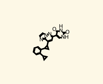 O=c1[nH]cc(-c2cc(C3CC3c3ccccc3C3CC3)c3nccn3n2)c(=O)[nH]1